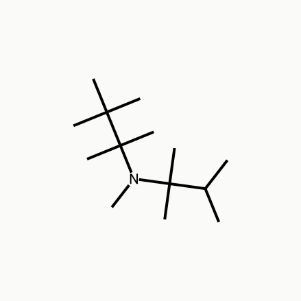 CC(C)C(C)(C)N(C)C(C)(C)C(C)(C)C